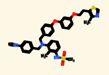 [C-]#[N+]c1ccc(CN(Cc2ccc(Oc3cccc(OCCc4scnc4C)c3)cc2)c2cccc(NS(C)(=O)=O)c2C)cc1